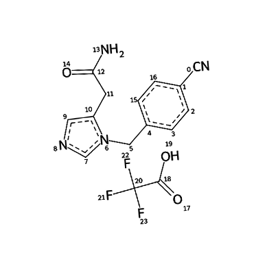 N#Cc1ccc(Cn2cncc2CC(N)=O)cc1.O=C(O)C(F)(F)F